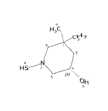 CC1(C)C[C@H](O)CN(S)C1